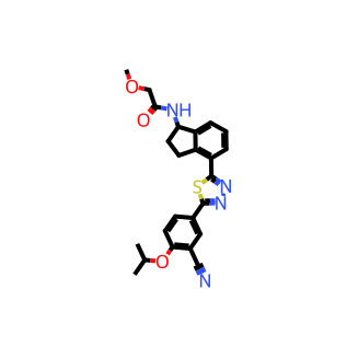 COCC(=O)NC1CCc2c(-c3nnc(-c4ccc(OC(C)C)c(C#N)c4)s3)cccc21